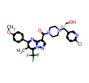 COc1ccc(-c2nc3c(C(=O)N4CCN([C@H](CO)c5ccc(Cl)nc5)CC4)cnn3c(C(F)(F)F)c2C)cc1